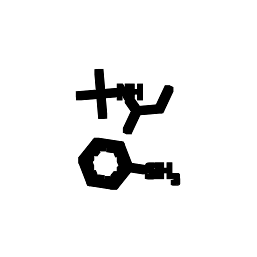 CCC(C)NC(C)(C)C.[SiH3]c1ccccc1